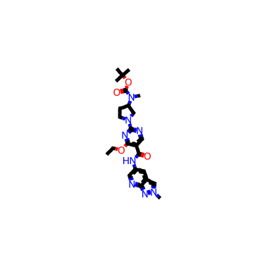 CCOc1nc(N2CCC(N(C)C(=O)OC(C)(C)C)C2)ncc1C(=O)Nc1cnc2nn(C)cc2c1